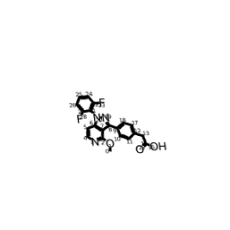 COc1nccc2c1c(-c1ccc(CC(=O)O)cc1)nn2-c1c(F)cccc1F